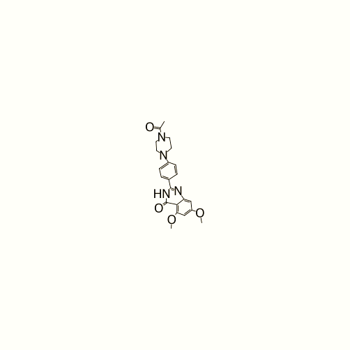 COc1cc(OC)c2c(=O)[nH]c(-c3ccc(N4CCN(C(C)=O)CC4)cc3)nc2c1